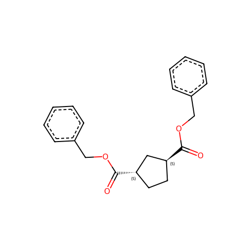 O=C(OCc1ccccc1)[C@H]1CC[C@H](C(=O)OCc2ccccc2)C1